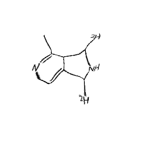 [2H]C1NC([2H])C2C1=CN=C2C